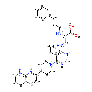 CCc1c(NC[C@H](NCCCc2ccccc2)C(=O)O)ncnc1N1CCC(c2ccc3c(n2)NCCC3)CC1